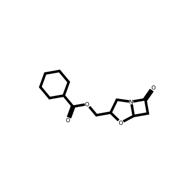 O=C(OCC1CN2C(=O)CC2O1)C1CCCCC1